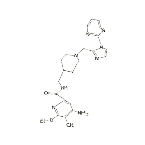 CCOc1nc(C(=O)NCC2CCN(Cc3nccn3-c3ncccn3)CC2)cc(N)c1C#N